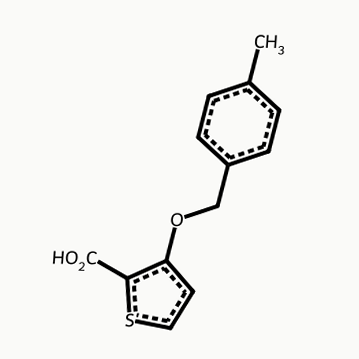 Cc1ccc(COc2ccsc2C(=O)O)cc1